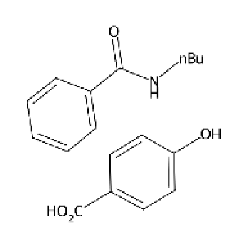 CCCCNC(=O)c1ccccc1.O=C(O)c1ccc(O)cc1